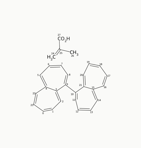 C1=CC=C2C(=CC=CC=C2C2=CC=CC=C3C=CC=CC=C32)C=C1.C=C(C)C(=O)O